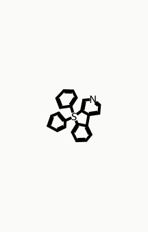 c1ccc(S2(c3ccccc3)c3ccccc3-c3ccncc32)cc1